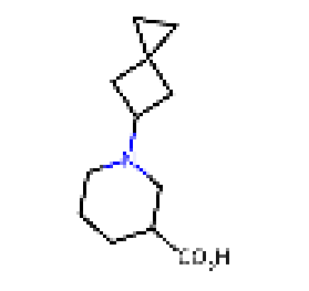 O=C(O)C1CCCN(C2CC3(CC3)C2)C1